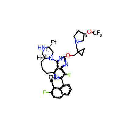 C#Cc1c(F)ccc2cccc(-c3nc4c5c(nc(OCC6(CN7CC[C@H](OC(F)(F)F)C7)CC6)nc5c3F)N3C[C@@H](CC)NC[C@H]3CCC4)c12